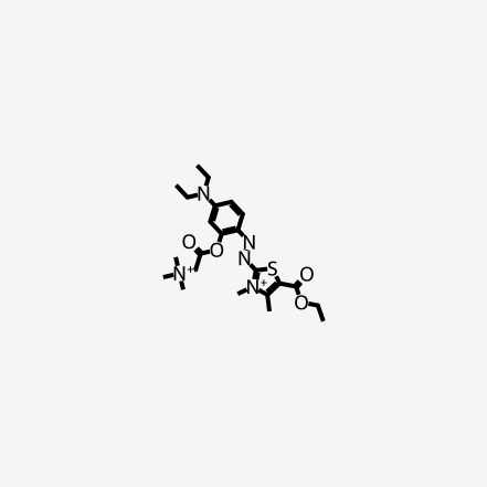 CCOC(=O)c1sc(/N=N/c2ccc(N(CC)CC)cc2OC(=O)C[N+](C)(C)C)[n+](C)c1C